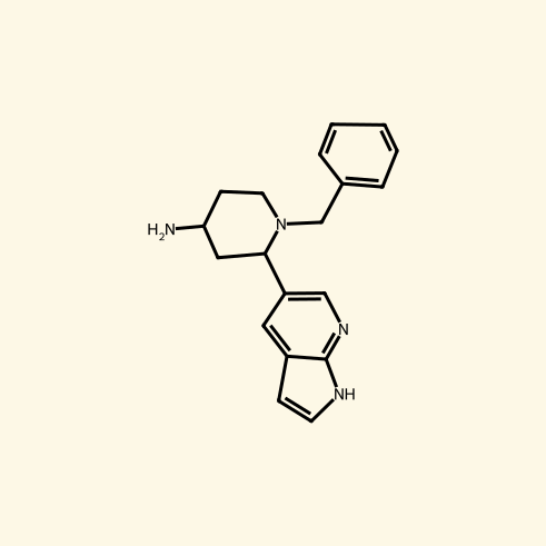 NC1CCN(Cc2ccccc2)C(c2cnc3[nH]ccc3c2)C1